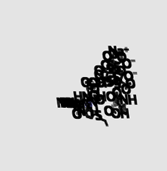 C=C(C)[C@H]1CN[C@H](C(=O)O)[C@H]1CC(=O)O.CCCSc1ccc([N+](=O)[O-])c(/N=C(/NCCS(=O)(=O)O)NC(=O)OC)c1.O=C([O-])C1[S][Sb]([S]C(C(=O)[O-])C([S][Sb]2[S]C(C(=O)[O-])C(C(=O)[O-])[S]2)C(=O)[O-])[S]C1C(=O)[O-].[Na+].[Na+].[Na+].[Na+].[Na+].[Na+]